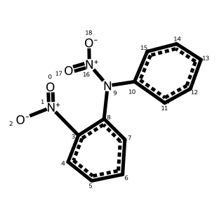 O=[N+]([O-])c1ccccc1N(c1[c]cccc1)[N+](=O)[O-]